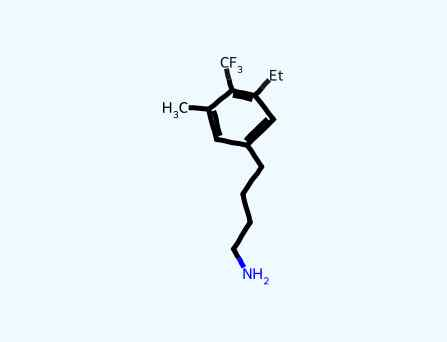 CCc1cc(CCCCN)cc(C)c1C(F)(F)F